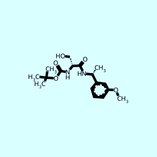 COc1cccc([C@@H](C)NC(=O)[C@@H](CO)NC(=O)OC(C)(C)C)c1